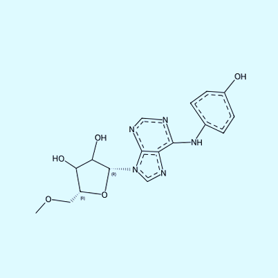 COC[C@H]1O[C@@H](n2cnc3c(Nc4ccc(O)cc4)ncnc32)C(O)C1O